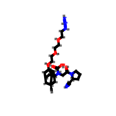 N#C[C@@H]1CCCN1C(=O)CN(C(=O)O)C12CC3C[C@H](CC(OCCOCCOCCN=[N+]=[N-])(C3)C1)C2